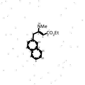 CCOC(=O)C=C(Cc1ccc2ccccc2c1)NC